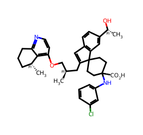 C[C@@H](COc1ccnc2c1[C@H](C)CCC2)CC1=Cc2ccc([C@@H](C)O)cc2C12CCC(Nc1cccc(Cl)c1)(C(=O)O)CC2